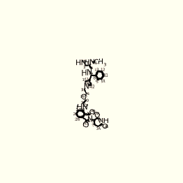 CN/C(C=N)=C/NC(c1ccccc1)C1CN(CCOCCNc2cccc3c2C(=O)N(C2CCC(=O)NC2=O)C3=O)C1